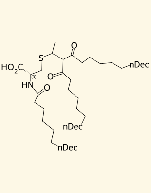 CCCCCCCCCCCCCCCC(=O)N[C@@H](CSC(C)C(C(=O)CCCCCCCCCCCCCCC)C(=O)CCCCCCCCCCCCCCC)C(=O)O